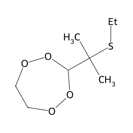 CCSC(C)(C)C1OOCCOO1